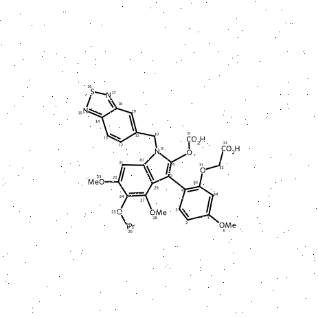 COc1ccc(-c2c(OC(=O)O)n(Cc3ccc4nsnc4c3)c3cc(OC)c(OC(C)C)c(OC)c23)c(OCC(=O)O)c1